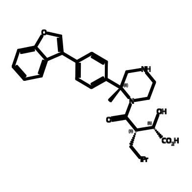 CC(C)C[C@H](C(=O)N1CCNC[C@@]1(C)c1ccc(-c2coc3ccccc23)cc1)[C@H](O)C(=O)O